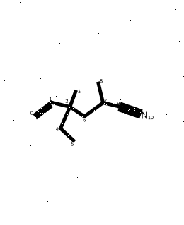 C=CC(C)(CC)CC(C)C#N